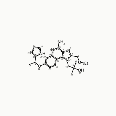 CCOCc1nc2c(N)nc3cc(OC(C)c4ncc[nH]4)ccc3c2n1CC(C)(C)O